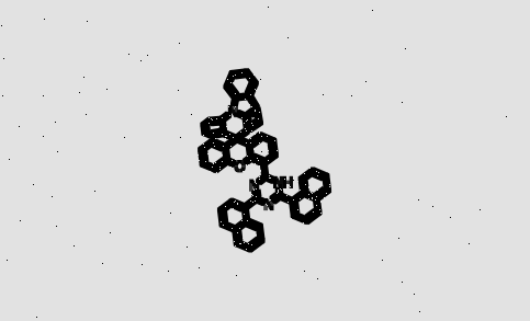 c1ccc2c(c1)Oc1c(C3N=C(c4cccc5ccccc45)N=C(c4cccc5ccccc45)N3)cccc1C21c2ccccc2-n2c3ccccc3c3cccc1c32